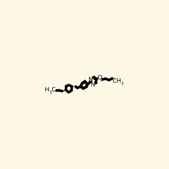 CCCCCOc1cnc(-c2ccc(CC[C@H]3CC[C@H](CCCC)CC3)cc2)nc1